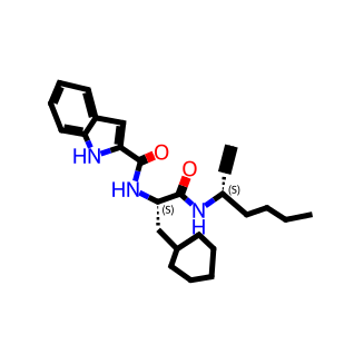 C#C[C@H](CCCC)NC(=O)[C@H](CC1CCCCC1)NC(=O)c1cc2ccccc2[nH]1